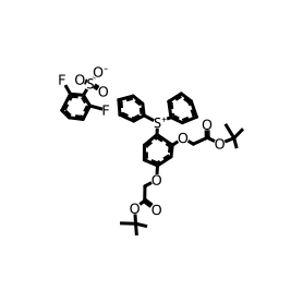 CC(C)(C)OC(=O)COc1ccc([S+](c2ccccc2)c2ccccc2)c(OCC(=O)OC(C)(C)C)c1.O=S(=O)([O-])c1c(F)cccc1F